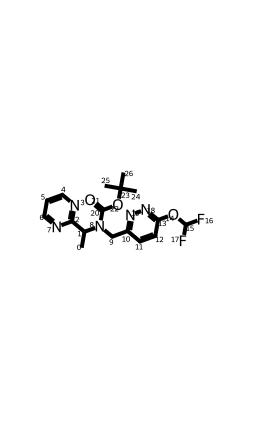 CC(c1ncccn1)N(Cc1ccc(OC(F)F)nn1)C(=O)OC(C)(C)C